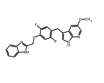 COc1cnc2[nH]cc(Cc3cc(F)c(OCc4nc5ccccc5[nH]4)cc3F)c2c1